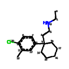 CCNCCC1(c2ccc(Cl)c(C)c2)CCCCC1